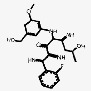 COC1C=C(NC(C(=N)CC(C)O)C(=O)C(=N)C(=N)c2ccccc2F)C=C(CO)C1